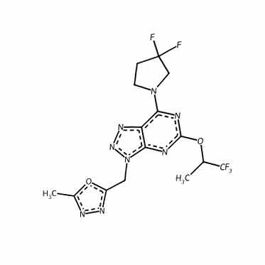 Cc1nnc(Cn2nnc3c(N4CCC(F)(F)C4)nc(OC(C)C(F)(F)F)nc32)o1